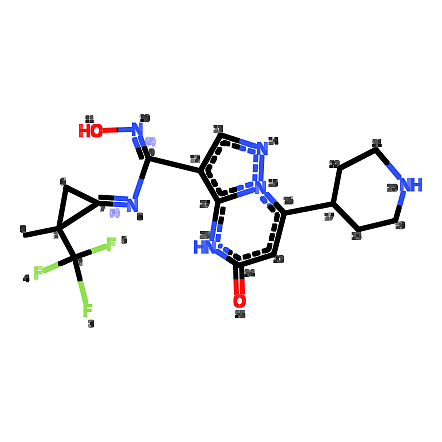 CC1(C(F)(F)F)C/C1=N\C(=N/O)c1cnn2c(C3CCNCC3)cc(=O)[nH]c12